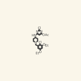 CCOc1cc(CN2CCC(Nc3cc(OC(C)=O)nc(Cl)n3)CC2)c(Cl)c(OCC)c1